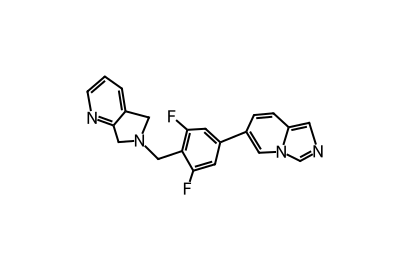 Fc1cc(-c2ccc3cncn3c2)cc(F)c1CN1Cc2cccnc2C1